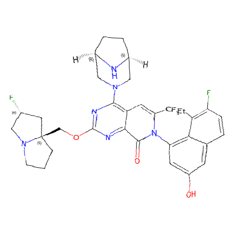 CCc1c(F)ccc2cc(O)cc(-n3c(C(F)(F)F)cc4c(N5C[C@H]6CC[C@@H](C5)N6)nc(OC[C@@]56CCCN5C[C@H](F)C6)nc4c3=O)c12